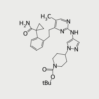 Cc1cnc(Nc2cnn(C3CCN(C(=O)OC(C)(C)C)CC3)c2)nc1CCc1ccccc1C1(C(N)=O)CC1